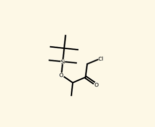 CC(O[Si](C)(C)C(C)(C)C)C(=O)CCl